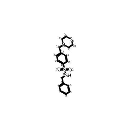 O=S(=O)(NCc1ccccc1)c1ccc(CN2CCSCC2)cc1